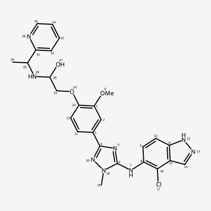 COc1cc(-c2nc(Nc3ccc4[nH]ncc4c3Cl)n(C)n2)ccc1OCC(O)NC(C)c1ccccn1